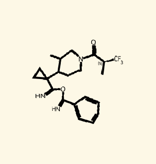 CC1CN(C(=O)[C@H](C)C(F)(F)F)CCC1C1(C(=N)OC(=N)c2ccccc2)CC1